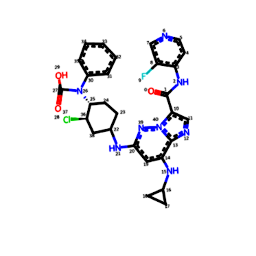 O=C(Nc1ccncc1F)c1cnc2c(NC3CC3)cc(NC3CC[C@@H](N(C(=O)O)c4ccccc4)[C@H](Cl)C3)nn12